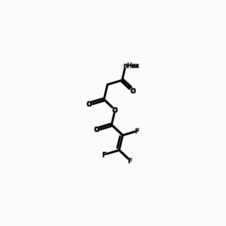 CCCCCCC(=O)CC(=O)OC(=O)C(F)=C(F)F